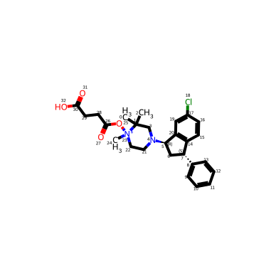 CC1(C)CN([C@@H]2C[C@@H](c3ccccc3)c3ccc(Cl)cc32)CC[N+]1(C)OC(=O)CCC(=O)O